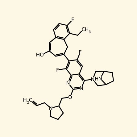 C=CCN1CCCC1COc1nc(N2CC3CCC(C2)N3)c2cc(F)c(C3=CC(O)=Cc4ccc(F)c(CC)c4C3)c(F)c2n1